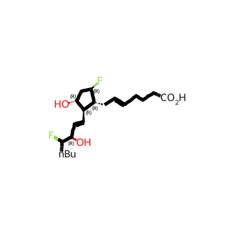 CCCCC(F)[C@H](O)C=C[C@@H]1[C@@H](CC=CCCCC(=O)O)[C@H](F)C[C@H]1O